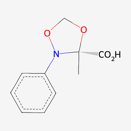 C[C@]1(C(=O)O)OCON1c1ccccc1